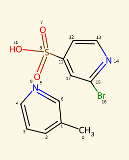 Cc1cccnc1.O=S(=O)(O)c1ccnc(Br)c1